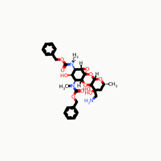 C[C@@H]1CC(O)(CN)[C@]2(O)O[C@@H]3[C@@H](N(C)C(=O)OCc4ccccc4)[C@@H](O)[C@@H](N(C)C(=O)OCc4ccccc4)[C@@H]4O[C@]34O[C@@H]2O1